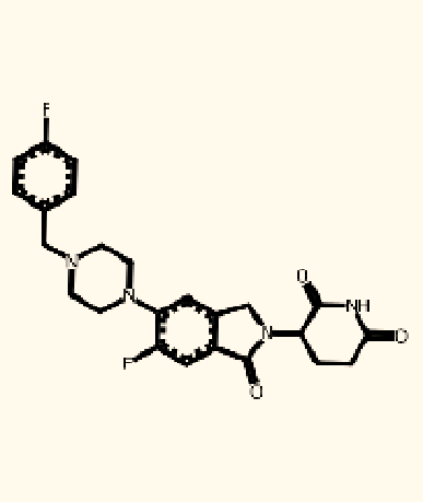 O=C1CCC(N2Cc3cc(N4CCN(Cc5ccc(F)cc5)CC4)c(F)cc3C2=O)C(=O)N1